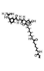 C=CC(=O)NCCCCCC(=O)NCCCCCCNC(=O)C(CC(=O)O)NC(=O)NNC(=O)c1cccc(NC(=N)N)c1